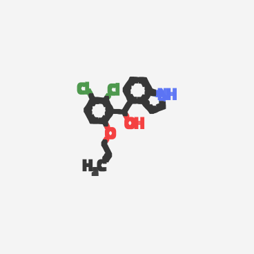 C=CCOc1ccc(Cl)c(Cl)c1C(O)c1cccc2[nH]ccc12